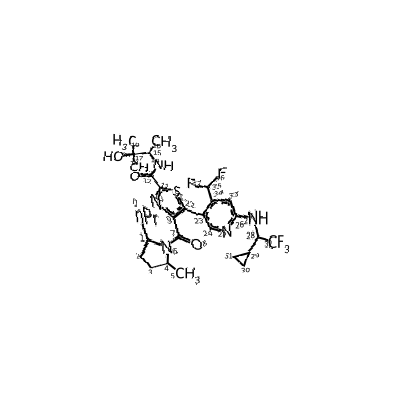 CCCC1CCC(C)N1C(=O)c1nc(C(=O)N[C@H](C)C(C)(C)O)sc1-c1cnc(NC(C2CC2)C(F)(F)F)cc1C(F)F